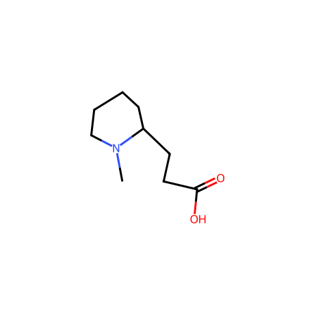 CN1CCCCC1CCC(=O)O